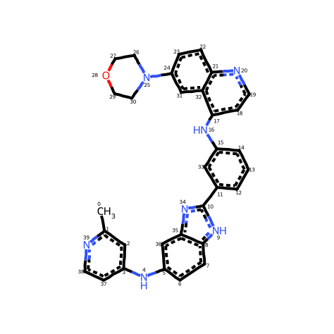 Cc1cc(Nc2ccc3[nH]c(-c4cccc(Nc5ccnc6ccc(N7CCOCC7)cc56)c4)nc3c2)ccn1